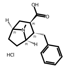 CN1[C@H]2CC[C@@H]1[C@@H](Cc1ccccc1)[C@H](C(=O)O)C2.Cl